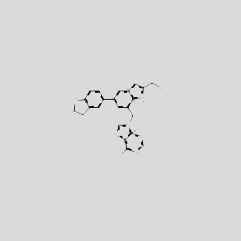 NCc1cc2cc(-c3ccc4c(c3)CCO4)cc(Cn3cnc4c(N)ncnc43)c2[nH]1